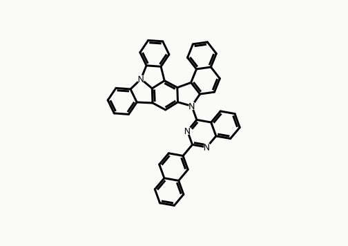 c1ccc2cc(-c3nc(-n4c5ccc6ccccc6c5c5c6c7ccccc7n7c8ccccc8c(cc54)c67)c4ccccc4n3)ccc2c1